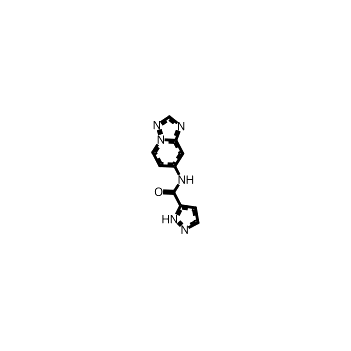 O=C(Nc1ccn2ncnc2c1)c1ccn[nH]1